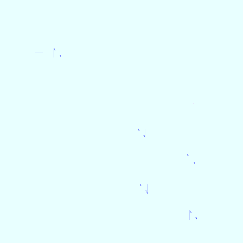 Nc1cccc(C(=O)Nc2ncncn2)c1F